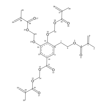 C=C(C)C(=O)OCCc1cc(C(=O)OCOC(=O)C(=C)C)cc(OCOC(=O)C(=C)C)c1OCOC(=O)C(=C)C